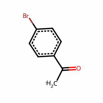 [CH2]C(=O)c1ccc(Br)cc1